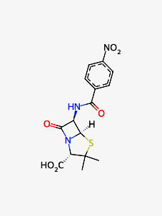 CC1(C)S[C@@H]2[C@H](NC(=O)c3ccc([N+](=O)[O-])cc3)C(=O)N2[C@H]1C(=O)O